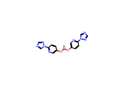 B(Oc1ccc(-n2cncn2)nc1)Oc1ccc(-n2cncn2)nc1